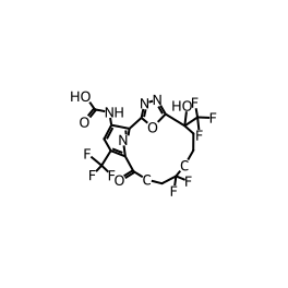 O=C(O)Nc1cc(C(F)(F)F)c2nc1-c1nnc(o1)C(O)(C(F)(F)F)CCCC(F)(F)CCC2=O